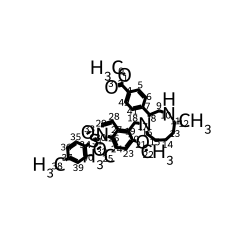 COC(=O)c1ccc(C2CN[C@H](C)CCCCN2Cc2c(OC)cc(C)c3c2ccn3S(=O)(=O)c2ccc(C)cc2)cc1